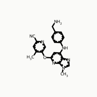 Cc1cc(C#N)ncc1Oc1cc(Nc2ccc(CN)cc2)c2ncn(C)c2n1